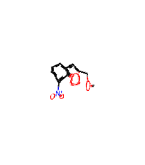 COCc1cc2cccc([N+](=O)[O-])c2o1